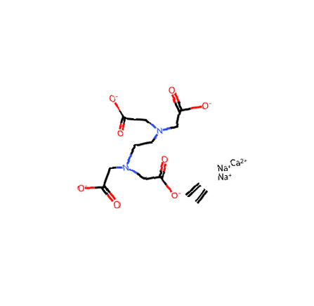 C=C.C=C.O=C([O-])CN(CCN(CC(=O)[O-])CC(=O)[O-])CC(=O)[O-].[Ca+2].[Na+].[Na+]